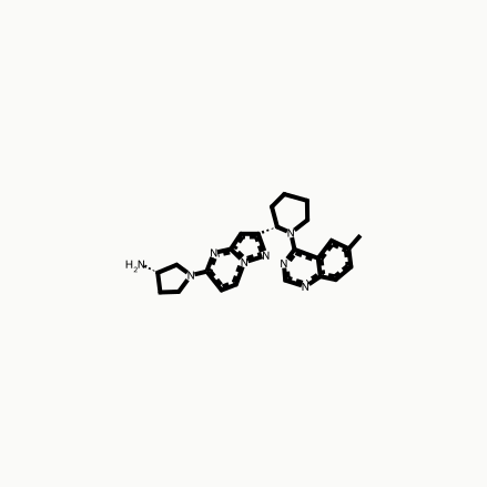 Cc1ccc2ncnc(N3CCCC[C@H]3c3cc4nc(N5CC[C@H](N)C5)ccn4n3)c2c1